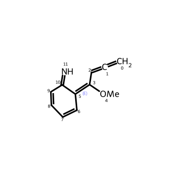 C=C=C/C(OC)=C1/C=CC=CC1=N